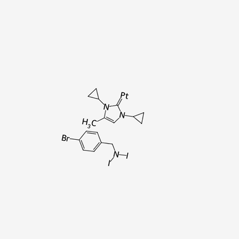 Brc1ccc(CN(I)I)cc1.Cc1cn(C2CC2)[c](=[Pt])n1C1CC1